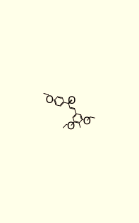 CCOc1ccc(C(=O)C=Cc2cc(OCC)c(C)c(OCC)c2)cc1